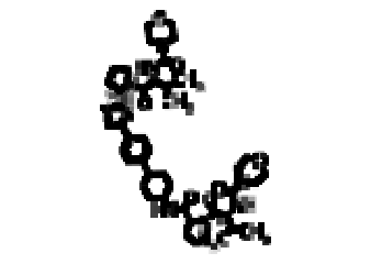 CC(C)[C@@H](NC(=O)N1CCOCC1)C(=O)N1CCC[C@H]1C(=O)N[C@H]1CC[C@H](c2ccc(-c3cnc([C@@H]4CCCN4C(=O)[C@H](NC(=O)N4CCOCC4)C(C)C)[nH]3)cc2)CC1